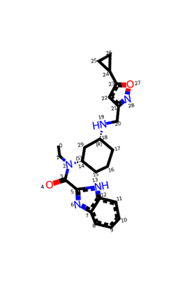 CCN(C(=O)c1nc2ccccc2[nH]1)[C@H]1CCC[C@@H](NCc2cc(C3CC3)on2)C1